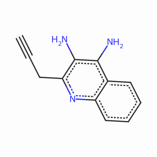 C#CCc1nc2ccccc2c(N)c1N